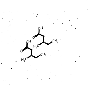 CCC(C)CC(=O)O.CCC(C)CC(=O)O